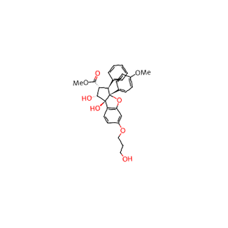 COC(=O)[C@H]1[C@@H](O)[C@@]2(O)c3ccc(OCCCO)cc3O[C@@]2(c2ccc(OC)cc2)[C@@H]1c1ccccc1